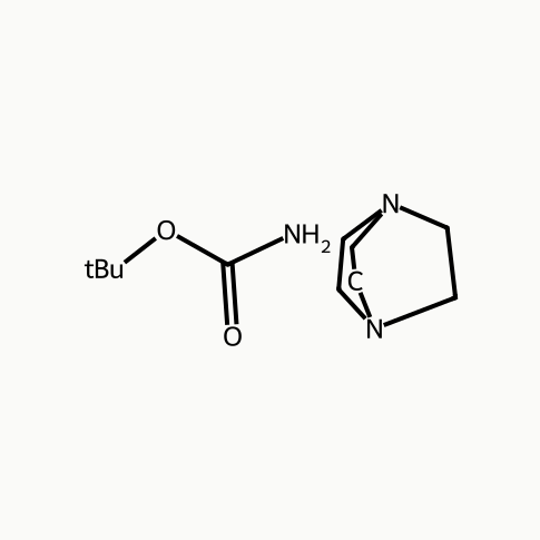 C1CN2CCN1CC2.CC(C)(C)OC(N)=O